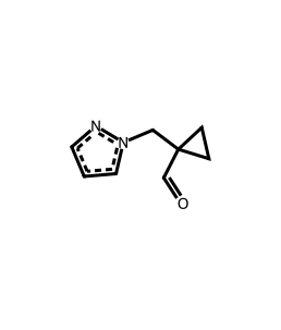 O=CC1(Cn2cccn2)CC1